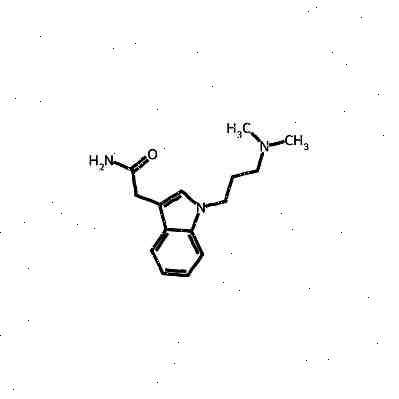 CN(C)CCCn1cc(CC(N)=O)c2ccccc21